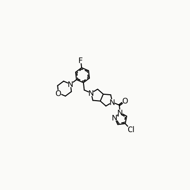 O=C(N1CC2CN(Cc3ccc(F)cc3N3CCOCC3)CC2C1)n1cc(Cl)cn1